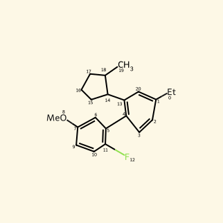 CCc1ccc(-c2cc(OC)ccc2F)c(C2CCCC2C)c1